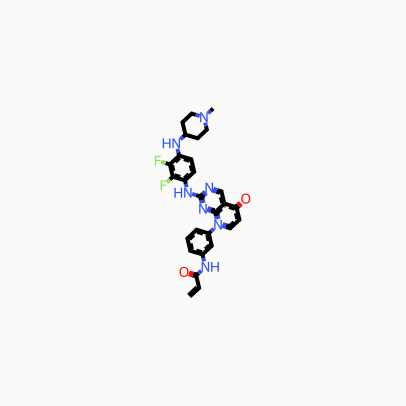 C=CC(=O)Nc1cccc(-n2ccc(=O)c3cnc(Nc4ccc(NC5CCN(C)CC5)c(F)c4F)nc32)c1